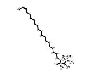 CCC/C=C\CCCCCCCCCCCCCCCCCOP(=O)(O)C(CCC)[N+](C)(C)C